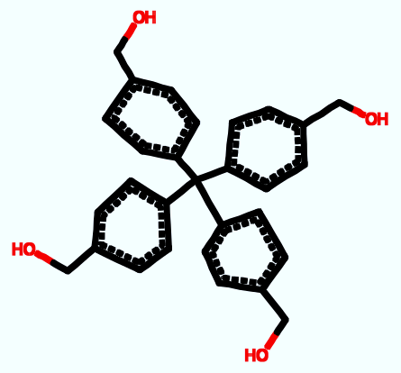 OCc1ccc(C(c2ccc(CO)cc2)(c2ccc(CO)cc2)c2ccc(CO)cc2)cc1